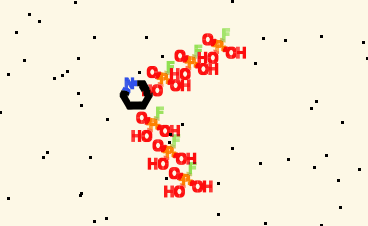 O=P(O)(O)F.O=P(O)(O)F.O=P(O)(O)F.O=P(O)(O)F.O=P(O)(O)F.O=P(O)(O)F.c1ccncc1